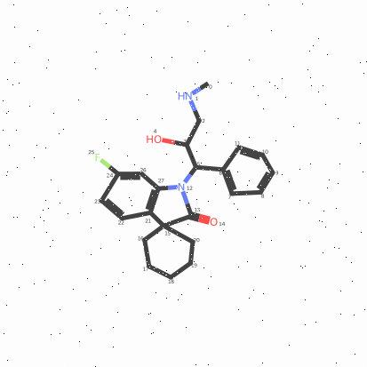 CNCC(O)C(c1ccccc1)N1C(=O)C2(CCCCC2)c2ccc(F)cc21